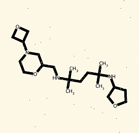 CC(C)(CCC(C)(C)NC1CCOC1)NCC1CN(C2COC2)CCO1